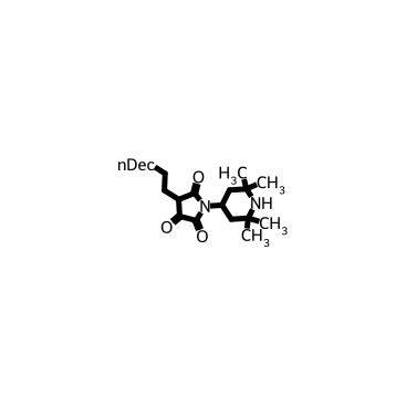 CCCCCCCCCCCCC1C(=O)C(=O)N(C2CC(C)(C)NC(C)(C)C2)C1=O